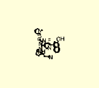 CN1CCC[C@H]1COc1nc(N2CC3CCC(CCC#N)(C2)N3)c2cnc(-c3cc(O)cc4ccccc34)c(F)c2n1